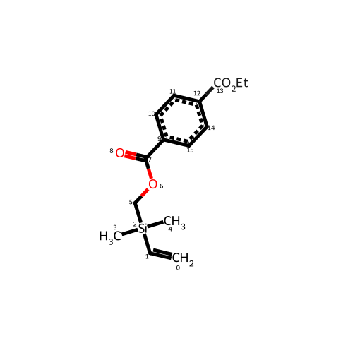 C=C[Si](C)(C)COC(=O)c1ccc(C(=O)OCC)cc1